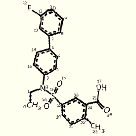 CCN(c1ccc(-c2cccc(F)c2)cc1)S(=O)(=O)c1ccc(C)c(C(=O)O)c1